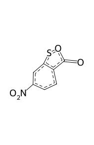 O=c1osc2cc([N+](=O)[O-])ccc12